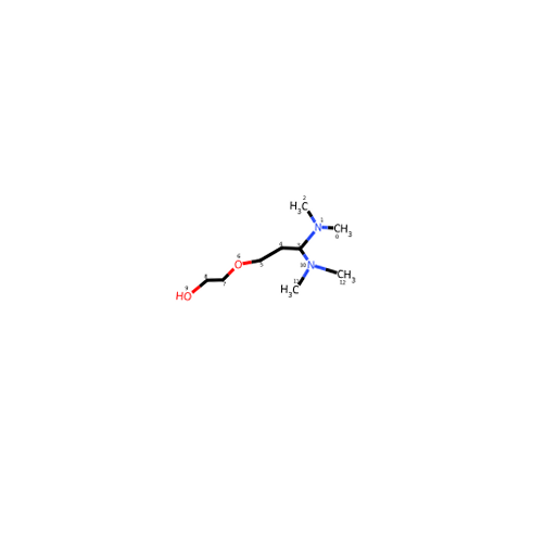 CN(C)C(CCOCCO)N(C)C